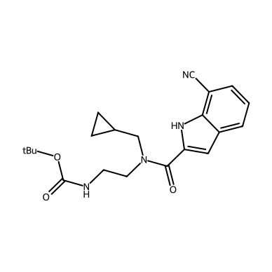 CC(C)(C)OC(=O)NCCN(CC1CC1)C(=O)c1cc2cccc(C#N)c2[nH]1